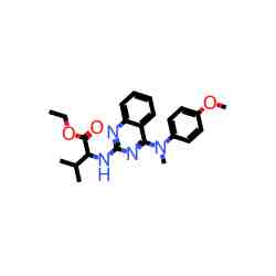 CCOC(=O)C(Nc1nc(N(C)c2ccc(OC)cc2)c2ccccc2n1)C(C)C